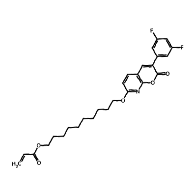 C=CC(=O)OCCCCCCCCCCOc1ccc2cc(-c3cc(F)cc(F)c3)c(=O)oc2n1